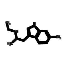 Cc1ccc2c(CC(C)NCC(F)(F)F)c[nH]c2c1